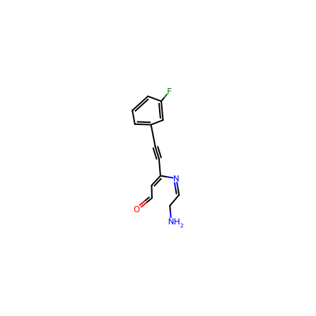 NC/C=N\C(C#Cc1cccc(F)c1)=CC=O